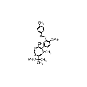 COc1ccc(-c2c(C)ncsc(C(C)(C)OC)cn2C)cc1SNc1ccc(P)cc1